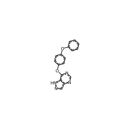 c1ccc(Oc2ccc(Oc3ncnc4cn[nH]c34)cc2)cc1